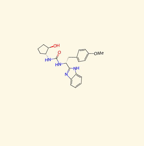 COc1ccc(C[C@@H](NC(=O)N[C@@H]2CCC[C@H]2O)c2nc3ccccc3[nH]2)cc1